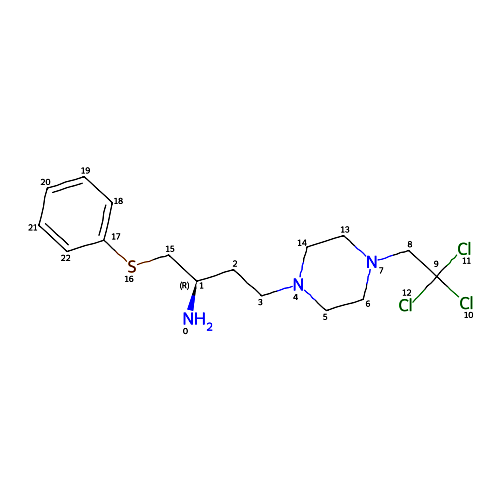 N[C@H](CCN1CCN(CC(Cl)(Cl)Cl)CC1)CSc1ccccc1